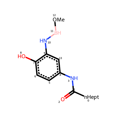 CCCCCCCC(=O)Nc1ccc(O)c(NBOC)c1